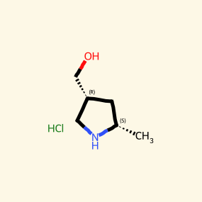 C[C@H]1C[C@@H](CO)CN1.Cl